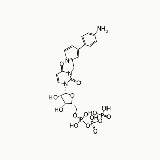 Nc1ccc(-c2ccnc(Cn3c(=O)ccn([C@@H]4O[C@H](COP(=O)(O)OP(=O)(O)OP(=O)(O)O)[C@H](O)C4O)c3=O)c2)cc1